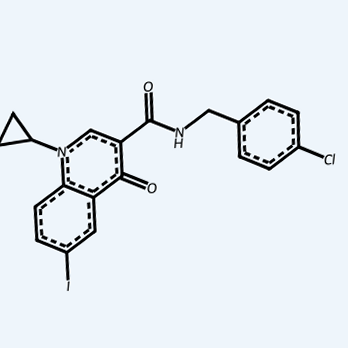 O=C(NCc1ccc(Cl)cc1)c1cn(C2CC2)c2ccc(I)cc2c1=O